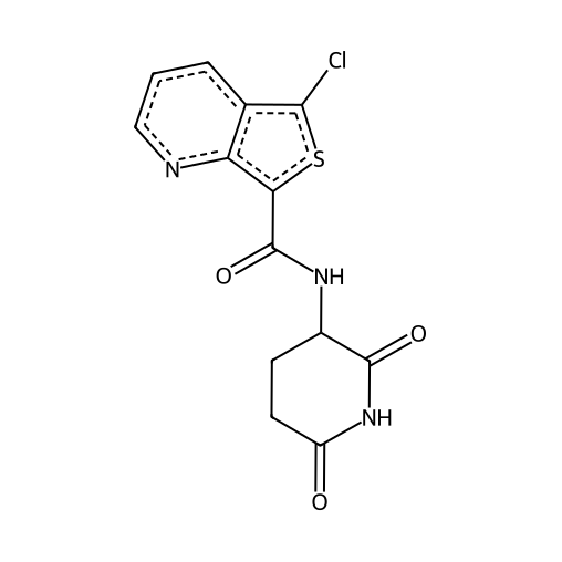 O=C1CCC(NC(=O)c2sc(Cl)c3cccnc23)C(=O)N1